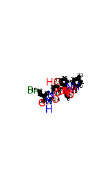 CCOC(=O)C1(NP(=O)(OC[C@H]2O[C@@H](n3cc(/C=C/Br)c(=O)[nH]c3=O)CC2O)Oc2ccc(C)cc2)CCCC1